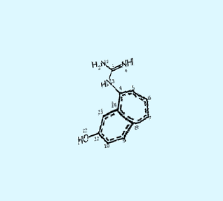 N=C(N)Nc1cccc2ccc(O)cc12